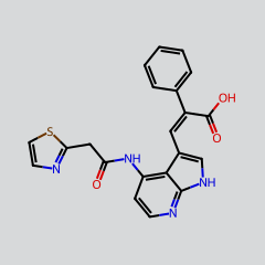 O=C(Cc1nccs1)Nc1ccnc2[nH]cc(C=C(C(=O)O)c3ccccc3)c12